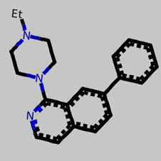 CCN1CCN(c2nccc3ccc(-c4ccccc4)cc23)CC1